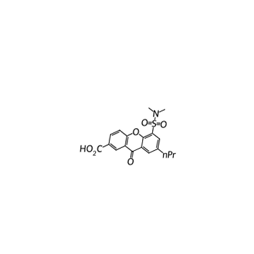 CCCc1cc(S(=O)(=O)N(C)C)c2oc3ccc(C(=O)O)cc3c(=O)c2c1